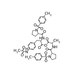 Cc1ccc(S(=O)(=O)N2CCCC2C(=O)NC(C)C(=O)OC(=O)C(Cc2ccc(NS(C)(=O)=O)cc2)NC(=O)C2CCCN2S(=O)(=O)c2ccc(C)cc2)cc1